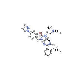 CC(C)c1ccccc1-c1ncc2c(n1)n(Cc1ccc(-n3cccn3)cc1)c(=O)n2CCN(C)C